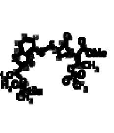 COC(=O)C(=C(C)OS(=O)(=O)C(F)(F)F)N1C[C@H](SSc2cccc3sc([C@@H](C)O[Si](C)(C)C(C)(C)C)nc23)C1=O